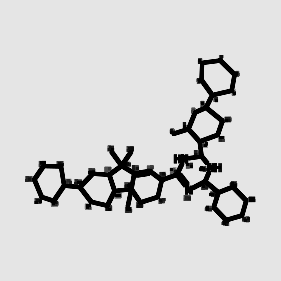 CC1CC(C2CCCCC2)CCC1C1NC(C2C=C3C(C)(C)C4CC(C5CCCCC5)CCC4C3(C)CC2)=NC(C2CCCCC2)N1